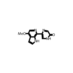 COc1cnc(-c2c[nH]c(=O)cn2)c2[nH]ccc12